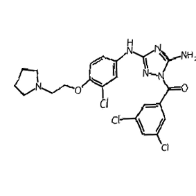 Nc1nc(Nc2ccc(OCCN3CCCC3)c(Cl)c2)nn1C(=O)c1cc(Cl)cc(Cl)c1